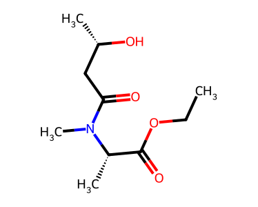 CCOC(=O)[C@H](C)N(C)C(=O)C[C@H](C)O